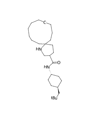 CC(C)(C)C[C@H]1CC[C@H](NC(=O)C2CCC3(CCCCCCCCCC3)NC2)CC1